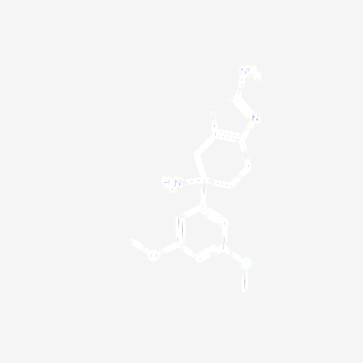 COc1cc(OC)cc(C2(N)CCc3nc(N)sc3C2)c1